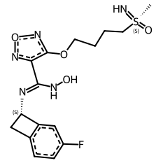 C[S@](=N)(=O)CCCCOc1nonc1C(=N[C@H]1Cc2ccc(F)cc21)NO